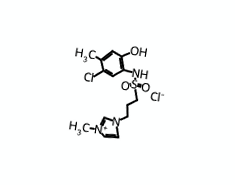 Cc1cc(O)c(NS(=O)(=O)CCCn2cc[n+](C)c2)cc1Cl.[Cl-]